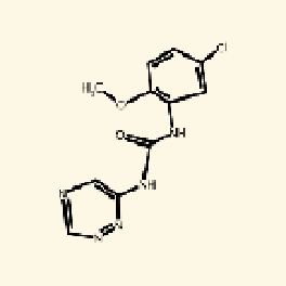 COc1ccc(Cl)cc1NC(=O)Nc1cncnn1